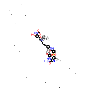 COc1cccc(Nc2c(C(N)=O)cnc3c(C)cc(S(=O)(=O)c4cccc(C(=O)Nc5ccc(C#CCCCNC[C@H](O[Si](C)(C)C(C)(C)C)c6ccc(O)c7c6OCC(=O)N7)cc5C)c4)cc23)c1